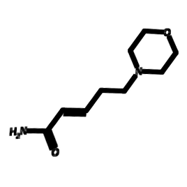 NC(=O)C=CCCN1CCOCC1